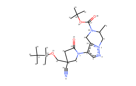 CC1Cn2ncc(N3CC(C#N)(CO[Si](C)(C)C(C)(C)C)CC3=O)c2CN1C(=O)OC(C)(C)C